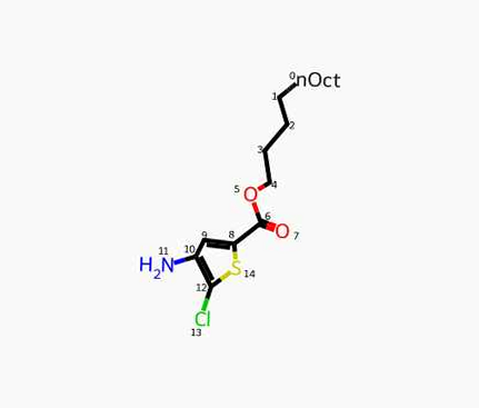 CCCCCCCCCCCCOC(=O)c1cc(N)c(Cl)s1